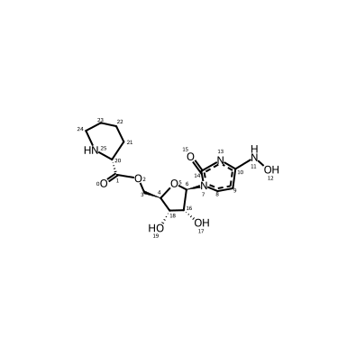 O=C(OC[C@H]1O[C@@H](n2ccc(NO)nc2=O)[C@H](O)[C@@H]1O)[C@H]1CCCCN1